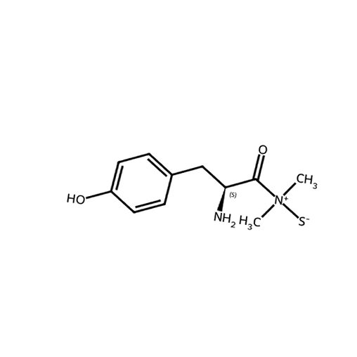 C[N+](C)([S-])C(=O)[C@@H](N)Cc1ccc(O)cc1